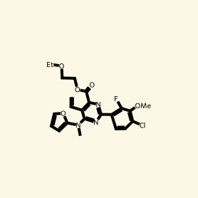 C=Cc1c(C(=O)OCCOCC)nc(-c2ccc(Cl)c(OC)c2F)nc1N(C)c1ccco1